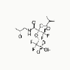 C=C(C)C(=O)OC(OCC(F)(F)S(=O)(=O)O)(C(=O)NCC(C)=O)C(F)(F)F